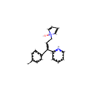 Cc1ccc(/C(=C/C[N+]2([O-])C=CC=C2)c2ccccn2)cc1